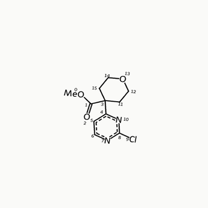 COC(=O)C1(c2ccnc(Cl)n2)CCOCC1